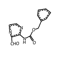 O=Cc1nccnc1NC(=O)OCc1ccccc1